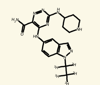 [2H]C([2H])([2H])C([2H])([2H])n1ncc2cc(Nc3nc(NC4CCNCC4)nnc3C(N)=O)ccc21